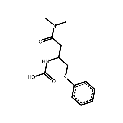 CN(C)C(=O)CC(CSc1ccccc1)NC(=O)O